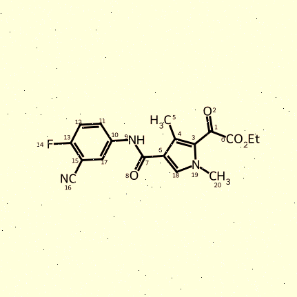 CCOC(=O)C(=O)c1c(C)c(C(=O)Nc2ccc(F)c(C#N)c2)cn1C